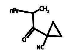 CCCC(C)C(=O)C1(C#N)CC1